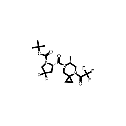 C[C@H]1CN(C(=O)C(F)(F)F)C2(CC2)CN1C(=O)[C@@H]1CC(F)(F)CN1C(=O)OC(C)(C)C